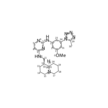 COc1cc(Nc2nccc(NC[C@@H]3CCCN4CCCC[C@H]34)n2)cc(-n2nnnc2C)c1